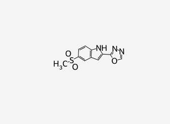 CS(=O)(=O)c1ccc2[nH]c(-c3nnco3)cc2c1